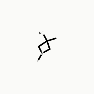 CC1(C#N)CN(I)C1